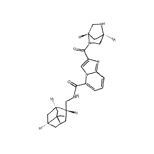 CC1(C)[C@H]2CC[C@@H](CNC(=O)c3cccc4nc(C(=O)N5C[C@H]6C[C@H]5CN6)cn34)[C@@H]1C2